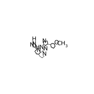 COc1cccc(-c2cncc3[nH]c(C4=NCCCc5ccc(-c6cn[nH]c6)nc54)nc23)c1